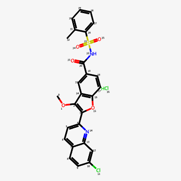 COc1c(-c2ccc3ccc(Cl)cc3n2)oc2ccc(C(=O)NS(=O)(=O)c3ccccc3C)cc12.Cl